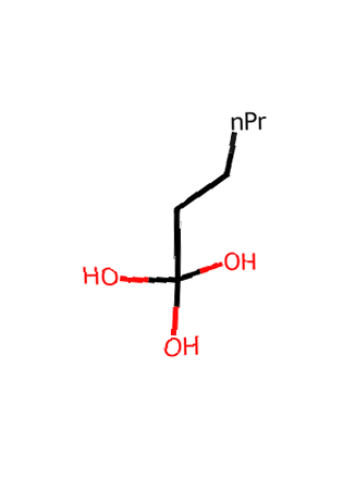 CCCCCC(O)(O)O